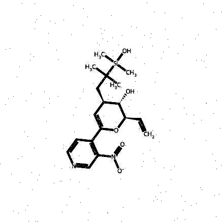 C=C[C@H]1OC(c2ccncc2[N+](=O)[O-])=C[C@@H](CC(C)(C)[Si](C)(C)O)[C@@H]1O